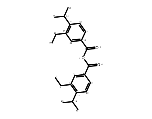 CCc1cc(C(=O)OC(=O)c2ccc(C(C)C)c(CC)c2)ccc1C(C)C